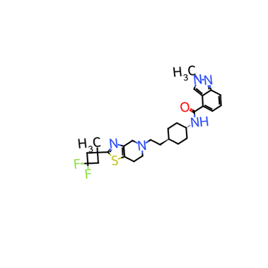 Cn1cc2c(C(=O)N[C@H]3CC[C@H](CCN4CCc5sc(C6(C)CC(F)(F)C6)nc5C4)CC3)cccc2n1